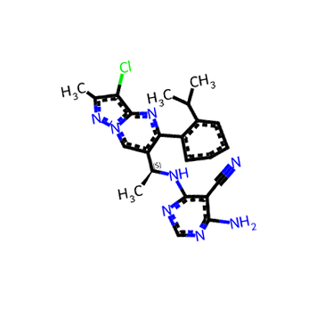 Cc1nn2cc([C@H](C)Nc3ncnc(N)c3C#N)c(-c3ccccc3C(C)C)nc2c1Cl